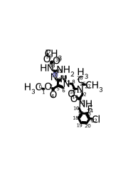 CCOC(=O)c1cn(CC(=O)N(CC(=O)NCc2cccc(Cl)c2F)C(C)C)nc1/N=C(\N)NC(=O)OC